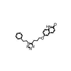 O=c1ccc2cc(OCCCc3nnnn3CCc3ccccc3)ccc2[nH]1